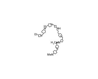 CCC1CCN(CC2CCC(NCCC3CCN(CC4CC(NCCCC5CCN(CC6CCC(NC[C@H](C)C7CCN(CC8CCC(NC)CC8)CC7)C6)CC5)C4)CC3)CC2)C1